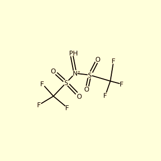 O=S(=O)([N+](=P)S(=O)(=O)C(F)(F)F)C(F)(F)F